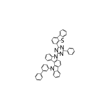 c1ccc(-c2cccc(-n3c4ccccc4c4ccc5c(c6ccccc6n5-c5nc(-c6ccccc6)nc(-c6cccc7c6sc6ccccc67)n5)c43)c2)cc1